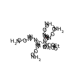 CCP(=O)(OC)OC1CCN(C(=O)C(CCCCN(Cc2cn(CCOCCON)nn2)Cc2cn(CCOCCON)nn2)N(Cc2cn(CCOCCON)nn2)Cc2cn(CCOCCON)nn2)CC1